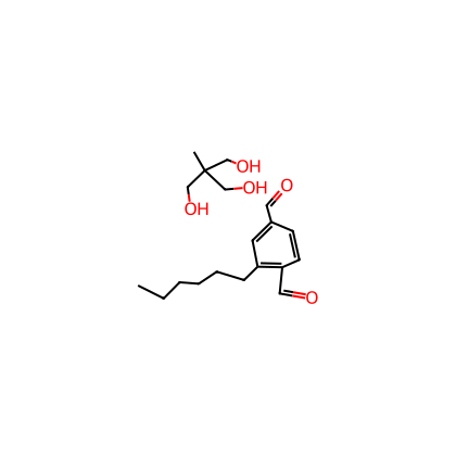 CC(CO)(CO)CO.CCCCCCc1cc(C=O)ccc1C=O